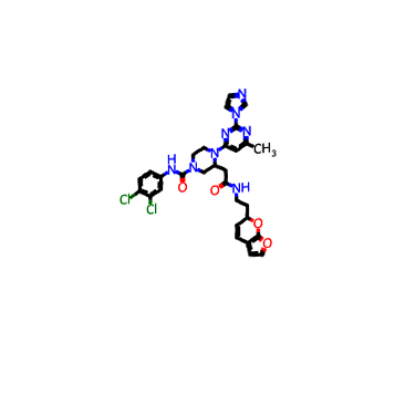 Cc1cc(N2CCN(C(=O)Nc3ccc(Cl)c(Cl)c3)CC2CC(=O)NCCC2C=Cc3ccoc3O2)nc(-n2ccnc2)n1